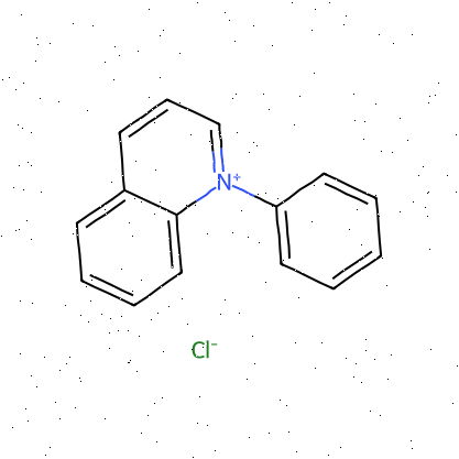 [Cl-].c1ccc(-[n+]2cccc3ccccc32)cc1